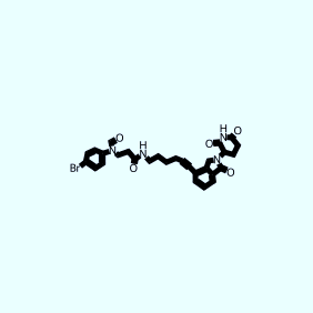 O=CN(CCC(=O)NCCCCC#Cc1cccc2c1CN(C1CCC(=O)NC1=O)C2=O)c1ccc(Br)cc1